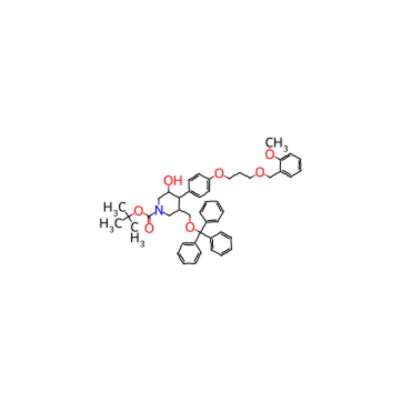 COc1ccccc1COCCCOc1ccc(C2C(O)CN(C(=O)OC(C)(C)C)CC2COC(c2ccccc2)(c2ccccc2)c2ccccc2)cc1